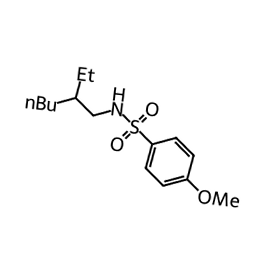 CCCCC(CC)CNS(=O)(=O)c1ccc(OC)cc1